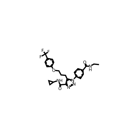 CCNC(=O)c1ccc(-n2nnc(C(=O)NC3CC3)c2CCCOc2ccc(C(F)(F)F)cc2)cc1